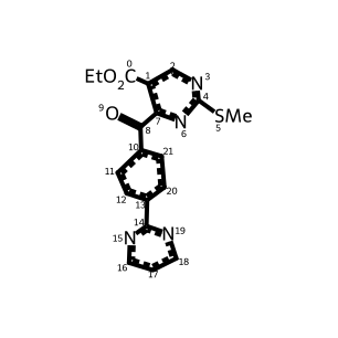 CCOC(=O)c1cnc(SC)nc1C(=O)c1ccc(-c2ncccn2)cc1